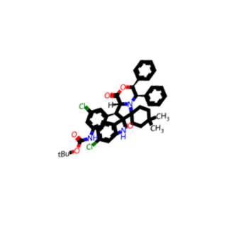 CC1(C)CCC2(CC1)N1[C@H](c3ccccc3)[C@H](c3ccccc3)OC(=O)[C@H]1[C@H](c1cc(Cl)cc(NC(=O)OC(C)(C)C)c1)C21C(=O)Nc2cc(Cl)ccc21